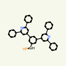 P=[SiH]c1cc(-c2cc(-c3ccccc3)nc(-c3ccccc3)c2)cc(-c2cc(-c3ccccc3)nc(-c3ccccc3)c2)c1